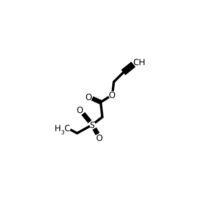 C#CCOC(=O)CS(=O)(=O)CC